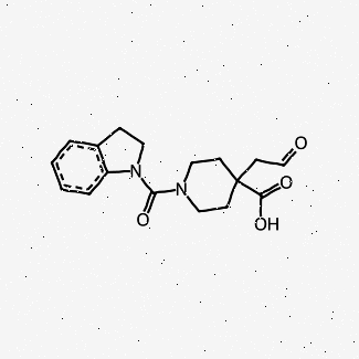 O=CCC1(C(=O)O)CCN(C(=O)N2CCc3ccccc32)CC1